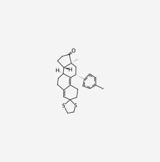 Cc1ccc([C@H]2C[C@]3(C)C(=O)CC[C@H]3[C@@H]3CCC4=CC5(CCC4=C32)SCCS5)cc1